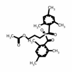 CC(=O)OCCCP(=O)(C(=O)c1c(C)cc(C)cc1C)C(=O)c1c(C)cc(C)cc1C